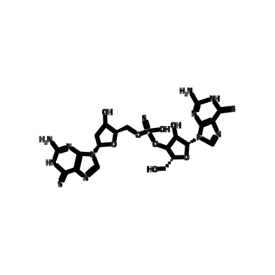 Nc1nc2c(ncn2[C@@H]2O[C@H](CO)C(OP(O)(=S)OC[C@H]3O[C@@H](n4cnc5c(=S)[nH]c(N)nc54)CC3O)C2O)c(=S)[nH]1